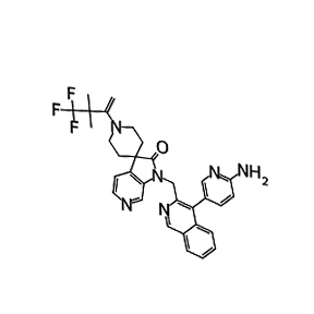 C=C(N1CCC2(CC1)C(=O)N(Cc1ncc3ccccc3c1-c1ccc(N)nc1)c1cnccc12)C(C)(C)C(F)(F)F